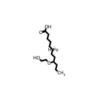 CCCC(CCCCCCCC(=O)O)OCCO.[PoH2]